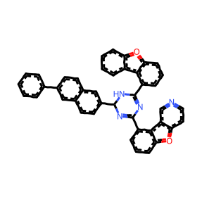 c1ccc(-c2ccc3cc(C4N=C(c5cccc6oc7ccncc7c56)N=C(c5cccc6oc7ccccc7c56)N4)ccc3c2)cc1